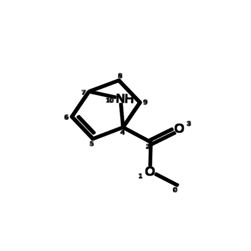 COC(=O)C12C=CC(CC1)N2